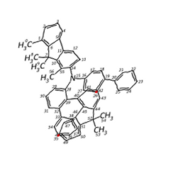 Cc1cccc2c1C(C)(C)c1c-2ccc(N(c2ccc(-c3ccccc3)cc2)c2cccc(-c3ccccc3)c2-c2cccc3c2-c2ccccc2C3(C)C)c1C